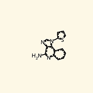 Nc1nc2ccccc2c2c1ncn2-c1cccs1